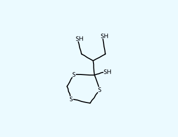 SCC(CS)C1(S)SCSCS1